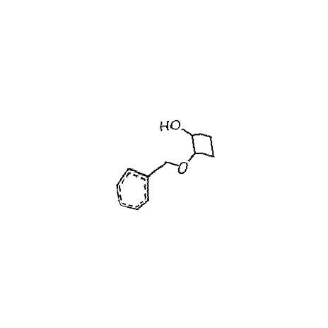 OC1CCC1OCc1ccccc1